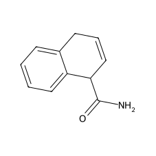 NC(=O)C1C=CCc2ccccc21